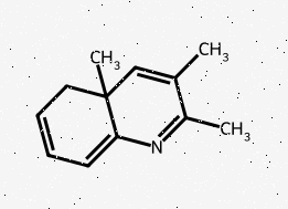 CC1=CC2(C)CC=CC=C2N=C1C